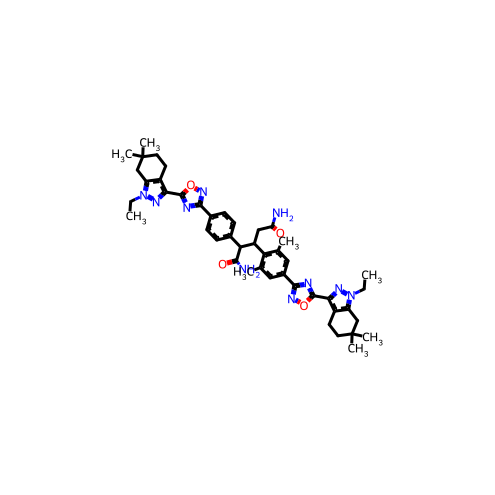 CCn1nc(-c2nc(-c3ccc(C(C(N)=O)C(CC(N)=O)c4c(C)cc(-c5noc(-c6nn(CC)c7c6CCC(C)(C)C7)n5)cc4C)cc3)no2)c2c1CC(C)(C)CC2